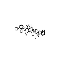 N#Cc1nc(N2CCC3(CC2)Cc2ncccc2[C@H]3N)nc2[nH]nc(Sc3cccc(Cl)c3Cl)c12